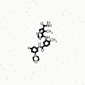 CCNC(=O)c1cn2ncnc(Nc3cc(C(=O)Nc4cc(F)cc(N5CCOCC5)c4)ccc3C)c2c1C